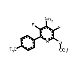 Nc1c(F)c(OC(=O)O)nc(-c2ccc(C(F)(F)F)cc2)c1F